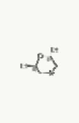 CC[C@@H]1C[N]C[C@@H](CC)O1